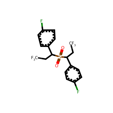 O=S(=O)(C(CC(F)(F)F)c1ccc(F)cc1)C(CC(F)(F)F)c1ccc(F)cc1